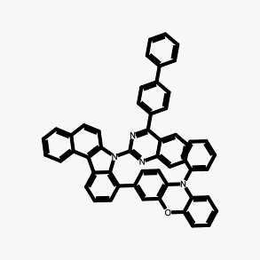 c1ccc(-c2ccc(-c3nc(-n4c5ccc6ccccc6c5c5cccc(-c6ccc7c(c6)Oc6ccccc6N7c6ccccc6)c54)nc4ccccc34)cc2)cc1